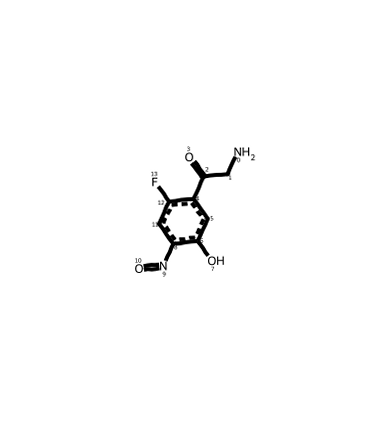 NCC(=O)c1cc(O)c(N=O)cc1F